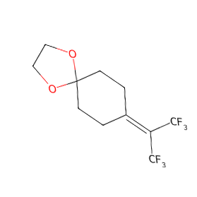 FC(F)(F)C(=C1CCC2(CC1)OCCO2)C(F)(F)F